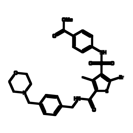 COC(=O)c1ccc(NS(=O)(=O)c2c(Br)sc(C(=O)NCc3ccc(CN4CCOCC4)cc3)c2C)cc1